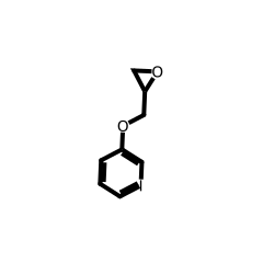 C1=CC(OCC2CO2)=CI=C1